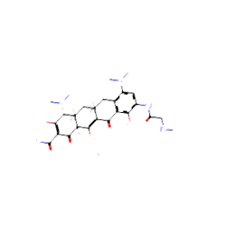 CN(C)c1cc(NC(=O)CNC(C)(C)C)c(O)c2c1C[C@H]1C[C@H]3[C@H](N(C)C)C(O)=C(C(N)=O)C(=O)[C@@]3(O)C(O)=C1C2=O.[Ag]